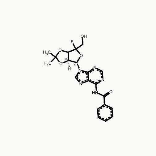 CC1(C)OC2[C@H](O1)[C@H](n1cnc3c(NC(=O)c4ccccc4)ncnc31)OC2(F)CO